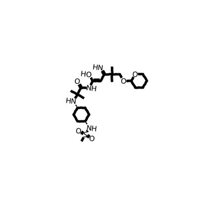 CC(C)(COC1CCCCO1)C(=N)/C=C(\O)NC(=O)C(C)(C)N[C@H]1CC[C@@H](NS(C)(=O)=O)CC1